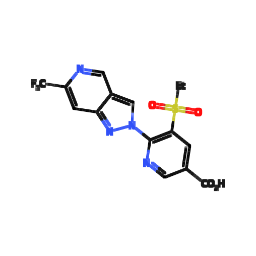 CCS(=O)(=O)c1cc(C(=O)O)cnc1-n1cc2cnc(C(F)(F)F)cc2n1